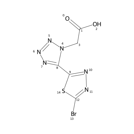 O=C(O)Cn1nnnc1-c1nnc(Br)s1